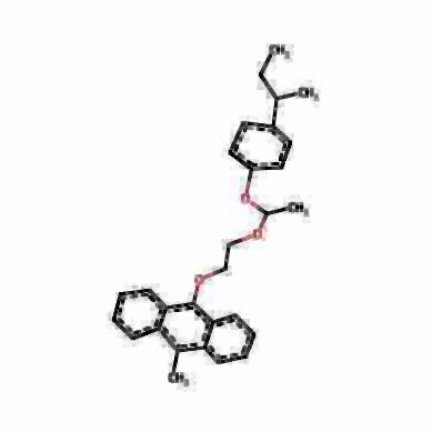 CCC(C)c1ccc(OC(C)OCCOc2c3ccccc3c(C)c3ccccc23)cc1